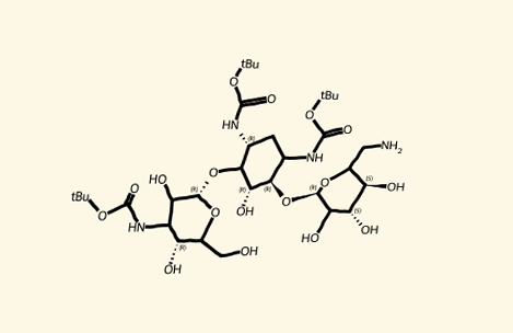 CC(C)(C)OC(=O)NC1C(O)[C@H](OC2[C@@H](O)[C@H](O[C@H]3OC(CN)[C@@H](O)[C@H](O)C3O)C(NC(=O)OC(C)(C)C)C[C@H]2NC(=O)OC(C)(C)C)OC(CO)[C@@H]1O